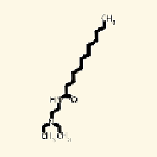 CCCCCCCCCCCC(=O)NCCN(CC)CC